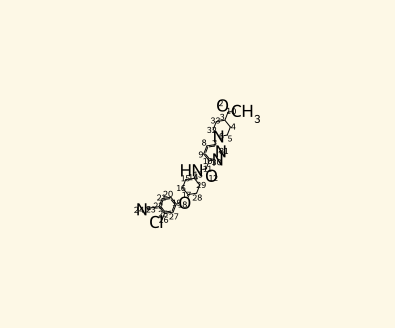 CC(=O)C1CCN(c2ccc(C(=O)NC3CCC(Oc4ccc(C#N)c(Cl)c4)CC3)nn2)CC1